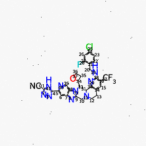 N#Cc1nnc(-c2cc3nc(CN4CCc5cc(C(F)(F)F)c(NCc6ccc(Cl)cc6F)nc5C4)n(C[C@@H]4CCO4)c3cn2)[nH]1